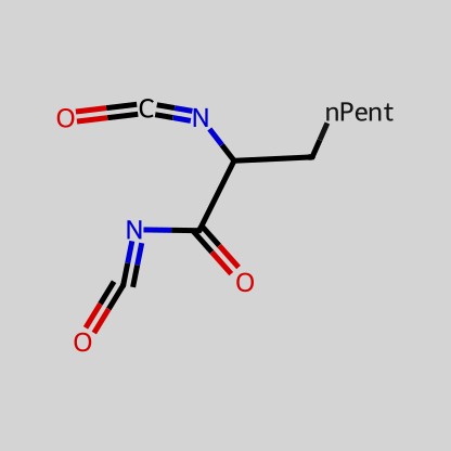 CCCCCCC(N=C=O)C(=O)N=C=O